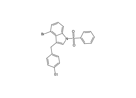 CCc1ccc(Cc2cn(S(=O)(=O)c3ccccc3)c3cccc(Br)c23)cc1